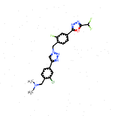 CN(C)Cc1ccc(-c2cn(Cc3ccc(-c4nnc(C(F)F)o4)cc3F)nn2)cc1Cl